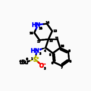 CC(C)(C)[S@@+]([O-])N[C@H]1c2ccccc2CC12CCNCC2